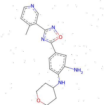 Cc1ccncc1-c1noc(-c2ccc(NC3CCOCC3)c(N)c2)n1